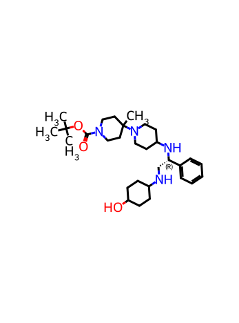 CC(C)(C)OC(=O)N1CCC(C)(N2CCC(N[C@@H](CNC3CCC(O)CC3)c3ccccc3)CC2)CC1